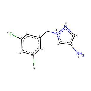 Nc1cnn(Cc2cc(F)cc(F)c2)c1